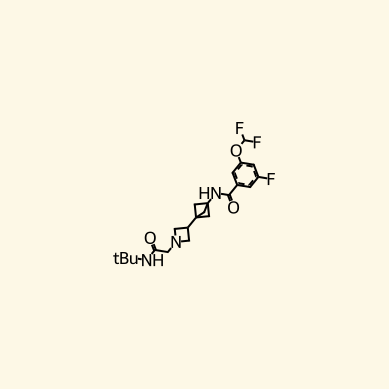 CC(C)(C)NC(=O)CN1CC(C23CC(NC(=O)c4cc(F)cc(OC(F)F)c4)(C2)C3)C1